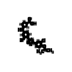 CC(C)Oc1ccc(-c2noc(-c3ccc(N[C@H]4CC[C@@H](C(=O)O)C4)cc3Br)n2)cc1Cl